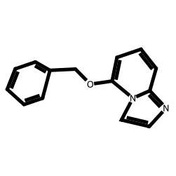 c1ccc(COc2cccc3nccn23)cc1